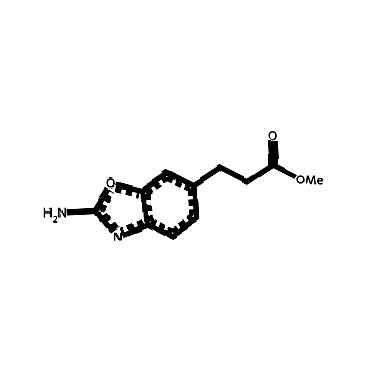 COC(=O)CCc1ccc2nc(N)oc2c1